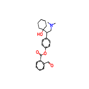 CN(C)CC(c1ccc(OC(=O)c2ccccc2C=O)cc1)C1(O)CCCCC1